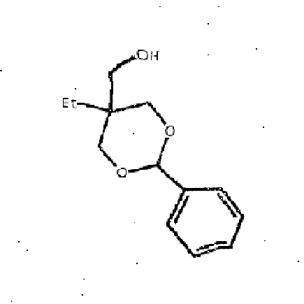 CCC1(CO)COC(c2ccccc2)OC1